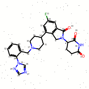 O=C1CCC(N2Cc3c(cc(F)cc3C3CCN(Cc4ccccc4-n4cncn4)CC3)C2=O)C(=O)N1